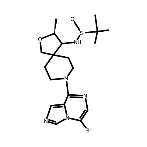 C[C@@H]1OCC2(CCN(c3ncc(Br)n4cncc34)CC2)C1N[S+]([O-])C(C)(C)C